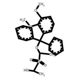 COc1cccc(C(OC(C)S(=O)(=O)C(C)O)(c2ccccc2)c2ccccc2)c1OC